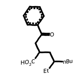 CCCCC(CC)CC(CC(=O)c1ccccc1)C(=O)O